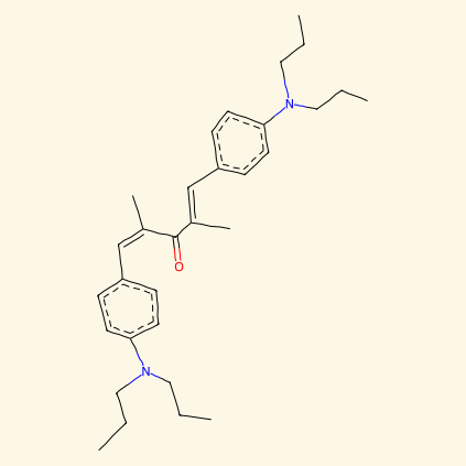 CCCN(CCC)c1ccc(C=C(C)C(=O)C(C)=Cc2ccc(N(CCC)CCC)cc2)cc1